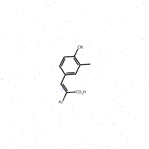 CC(=O)/C(=C/c1ccc(C#N)c(C)c1)C(=O)O